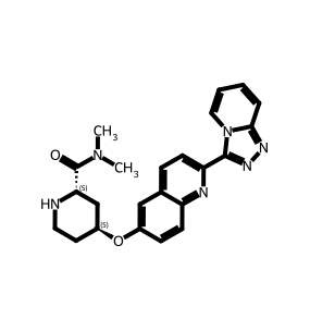 CN(C)C(=O)[C@@H]1C[C@@H](Oc2ccc3nc(-c4nnc5ccccn45)ccc3c2)CCN1